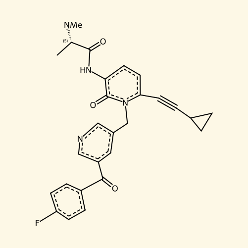 CN[C@@H](C)C(=O)Nc1ccc(C#CC2CC2)n(Cc2cncc(C(=O)c3ccc(F)cc3)c2)c1=O